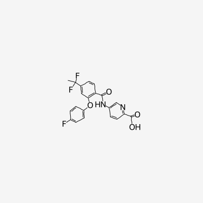 CC(F)(F)c1ccc(C(=O)Nc2ccc(C(=O)O)nc2)c(Oc2ccc(F)cc2)c1